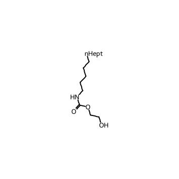 CCCCCCCCCCCCNC(=O)OCCO